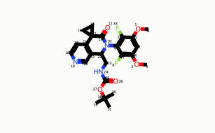 COc1cc(OC)c(F)c(N2C(=O)C3(CC3)c3ccncc3C2CNC(=O)OC(C)(C)C)c1F